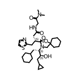 CN(C)C(=O)CNC(=O)C[C@@H](Cc1nccs1)C(=O)N(CC1(O)CCCCC1)[C@@H](CC1CCCCC1)[C@@H](O)CC1CC1